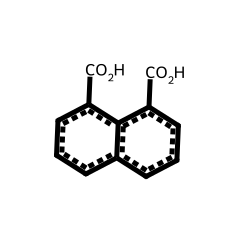 O=C(O)c1cccc2cccc(C(=O)O)c12